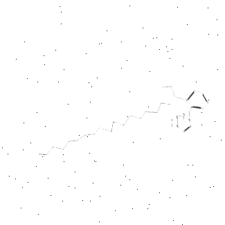 CCCCCCCCCCCCCCCCCC[C@H](CC)c1ccccc1-n1ccnc1